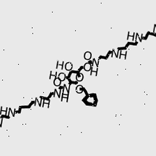 NCCCNCCCCNCCCNC(=O)OCC1OC(OCc2ccccc2)C(NC(=O)NCCCNCCCCNCCN)C(O)C1O